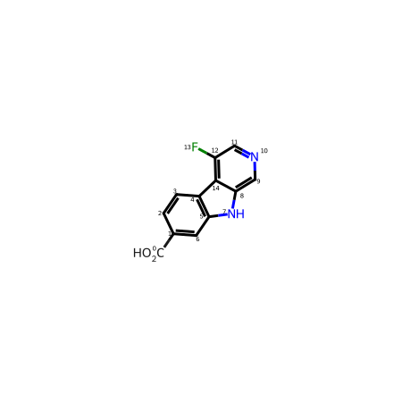 O=C(O)c1ccc2c(c1)[nH]c1cncc(F)c12